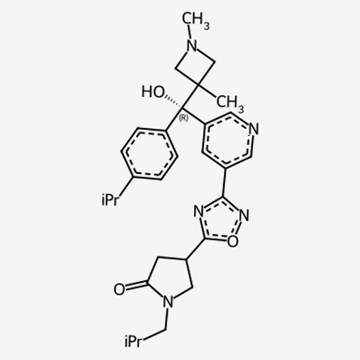 CC(C)CN1CC(c2nc(-c3cncc([C@@](O)(c4ccc(C(C)C)cc4)C4(C)CN(C)C4)c3)no2)CC1=O